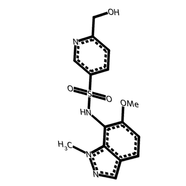 COc1ccc2cnn(C)c2c1NS(=O)(=O)c1ccc(CO)nc1